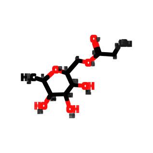 CC1OC(COC(=O)CC(C)(C)C)C(O)C(O)C1O